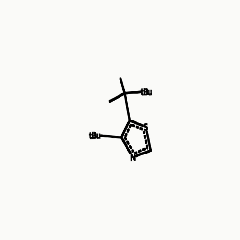 CC(C)(C)c1ncsc1C(C)(C)C(C)(C)C